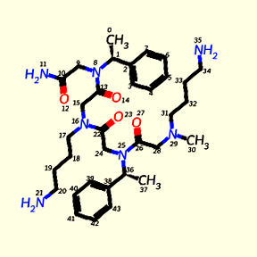 C[C@@H](c1ccccc1)N(CC(N)=O)C(=O)CN(CCCCN)C(=O)CN(C(=O)CN(C)CCCCN)[C@@H](C)c1ccccc1